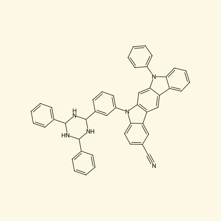 N#Cc1ccc2c(c1)c1cc3c4ccccc4n(-c4ccccc4)c3cc1n2-c1cccc(C2NC(c3ccccc3)NC(c3ccccc3)N2)c1